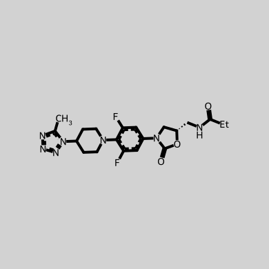 CCC(=O)NC[C@H]1CN(c2cc(F)c(N3CCC(n4nnnc4C)CC3)c(F)c2)C(=O)O1